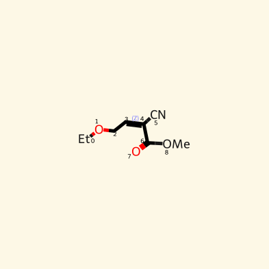 CCOC/C=C(/C#N)C(=O)OC